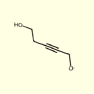 [O]CC#CCCO